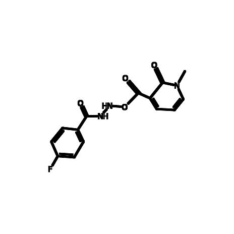 Cn1cccc(C(=O)ONNC(=O)c2ccc(F)cc2)c1=O